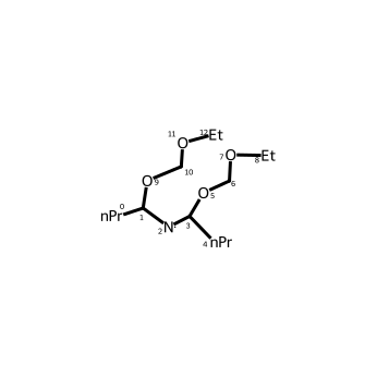 CCCC([N]C(CCC)OCOCC)OCOCC